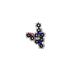 c1ccc(-c2ccc(N(c3ccc(-c4cccc5c4oc4ccccc45)cc3)c3cccc4c3sc3c4ccc4c3c3ccccc3n4-c3ccccc3)cc2)cc1